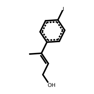 CC(=CCO)c1ccc(I)cc1